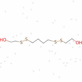 OCCSSCCCCSSCCO